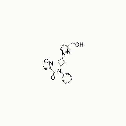 O=C(c1ccon1)N(c1ccccc1)[C@H]1C[C@H](n2ccc(CO)n2)C1